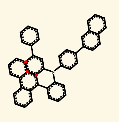 c1ccc(-c2cccc(N(c3ccc(-c4ccc5ccccc5c4)cc3)c3ccccc3-c3cc4ccccc4c4ccccc34)c2)cc1